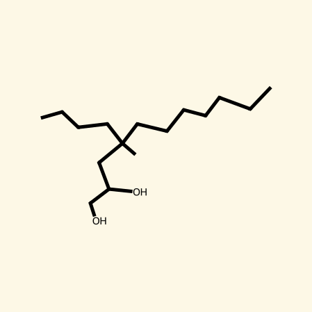 CCCCCCCC(C)(CCCC)CC(O)CO